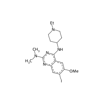 CCN1CCC(Nc2nc(N(C)C)nc3cc(I)c(OC)cc23)CC1